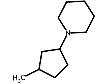 CC1CCC(N2CCCCC2)C1